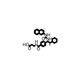 C[C@H](C1CCCCC1)C(NC(=O)Nc1ccc2ccccc2c1)c1ccc(C(=O)NCCC(=O)O)cc1